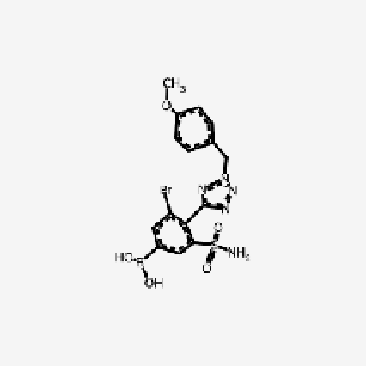 COc1ccc(Cn2nnc(-c3c(Br)cc(B(O)O)cc3S(N)(=O)=O)n2)cc1